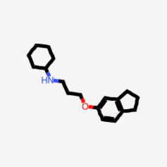 c1cc2c(cc1OCCCNC1CCCCC1)CCC2